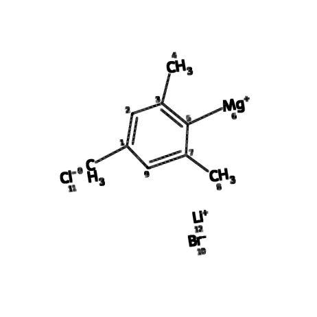 Cc1cc(C)[c]([Mg+])c(C)c1.[Br-].[Cl-].[Li+]